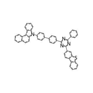 c1ccc(-c2nc(-c3ccc(-c4ccc(-n5c6ccccc6c6c7ccccc7ccc65)cc4)cc3)nc(-c3ccc4c(c3)sc3ccccc34)n2)cc1